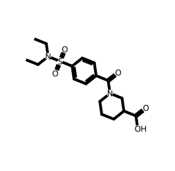 CCN(CC)S(=O)(=O)c1ccc(C(=O)N2CCCC(C(=O)O)C2)cc1